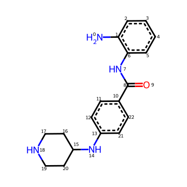 Nc1ccccc1NC(=O)c1ccc(NC2CCNCC2)cc1